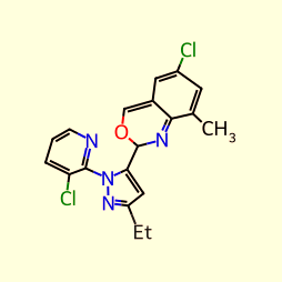 CCc1cc(C2N=c3c(C)cc(Cl)cc3=CO2)n(-c2ncccc2Cl)n1